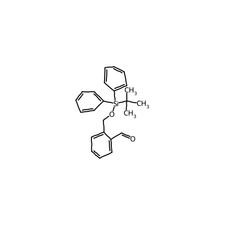 CC(C)(C)[Si](OCc1ccccc1C=O)(c1ccccc1)c1ccccc1